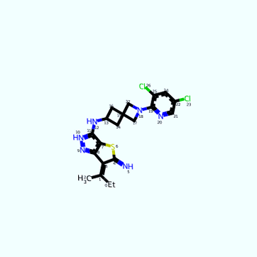 CC/C(C)=C1\C(=N)Sc2c1n[nH]c2NC1CC2(C1)CN(c1ncc(Cl)cc1Cl)C2